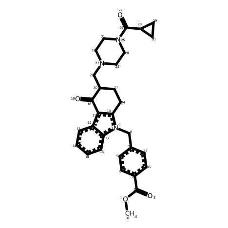 COC(=O)c1ccc(Cn2c3c(c4ccccc42)C(=O)C(CN2CCN(C(=O)C4CC4)CC2)CC3)cc1